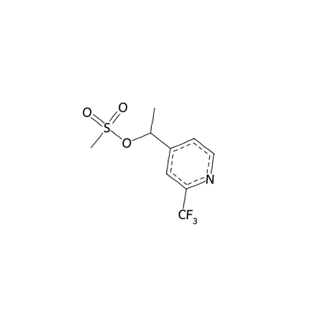 CC(OS(C)(=O)=O)c1ccnc(C(F)(F)F)c1